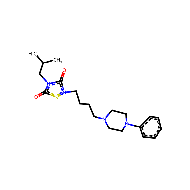 CC(C)Cn1c(=O)sn(CCCCN2CCN(c3ccccc3)CC2)c1=O